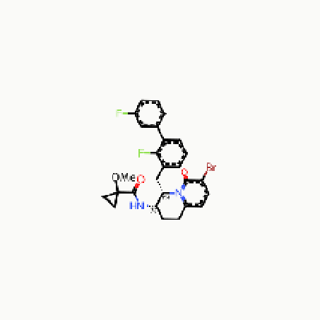 COC1(C(=O)N[C@H]2CCc3ccc(Br)c(=O)n3[C@H]2Cc2cccc(-c3cccc(F)c3)c2F)CC1